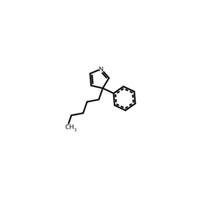 CCCCCC1(c2ccccc2)C=CN=C1